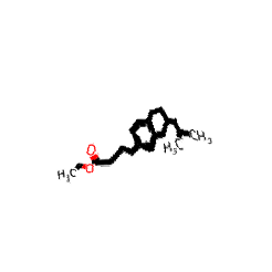 CCOC(=O)CCCc1ccc2c(c1)CC(CC(C)C)CC2